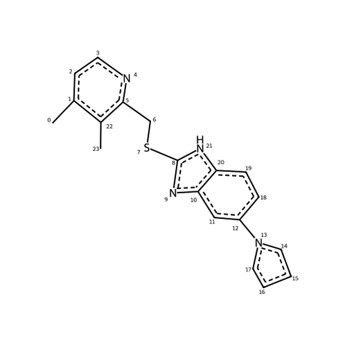 Cc1ccnc(CSc2nc3cc(-n4cccc4)ccc3[nH]2)c1C